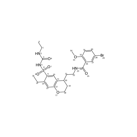 CCNC(=O)NS(=O)(=O)c1cc2c(cc1CC)OCCC2CCNC(=O)c1cc(Br)ccc1OC